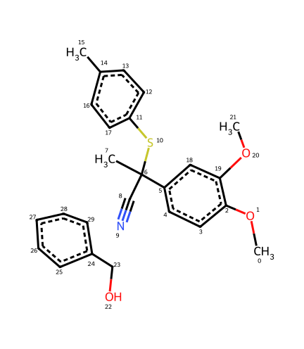 COc1ccc(C(C)(C#N)Sc2ccc(C)cc2)cc1OC.OCc1ccccc1